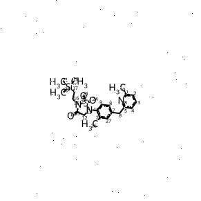 Cc1cccc(Cc2ccc(N3CC(=O)N(CC[Si](C)(C)C)S3(=O)=O)c(C)c2)n1